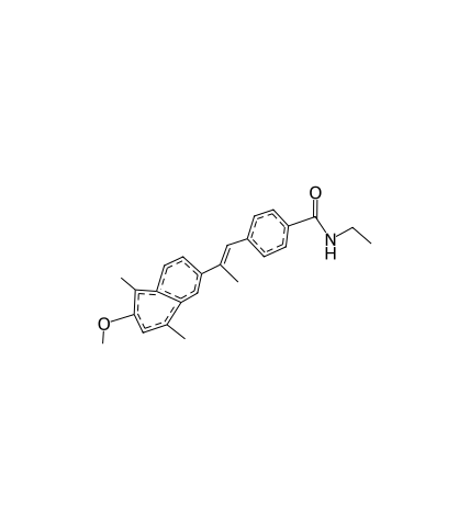 CCNC(=O)c1ccc(/C=C(\C)c2ccc3c(C)c(OC)cc(C)c3c2)cc1